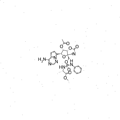 COC(=O)[C@H](C)NP(=O)(Nc1ccccc1)OC[C@@]1(C#N)O[C@@H](c2ccc3c(N)ncnn23)[C@H](OC(C)=O)[C@@H]1OC(C)=O